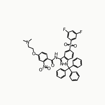 CN(C)CCOc1ccc(C(=O)Nc2nn(C(c3ccccc3)(c3ccccc3)c3ccccc3)c3ccc(S(=O)(=O)c4cc(F)cc(F)c4)cc23)c([N+](=O)[O-])c1